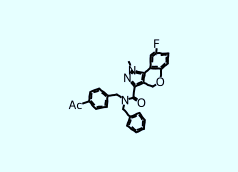 CC(=O)c1ccc(CN(Cc2ccccc2)C(=O)c2nn(C)c3c2COc2ccc(F)cc2-3)cc1